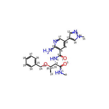 CNC(=O)[C@@H](NC(=O)c1cc(-c2cnn(C)c2)cnc1N)[C@@H](C)OCc1ccccc1